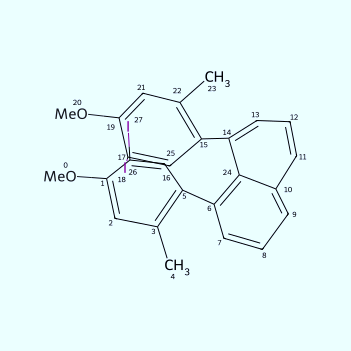 COc1cc(C)c(-c2cccc3cccc(-c4cc(I)c(OC)cc4C)c23)cc1I